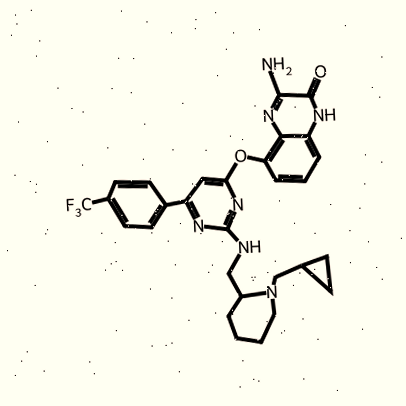 Nc1nc2c(Oc3cc(-c4ccc(C(F)(F)F)cc4)nc(NCC4CCCCN4CC4CC4)n3)cccc2[nH]c1=O